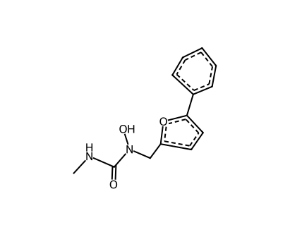 CNC(=O)N(O)Cc1ccc(-c2ccccc2)o1